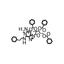 C[C@@]1(OC(=O)c2ccccc2)[C@H](OC(=O)c2ccccc2)[C@@H](COC(=O)c2ccccc2)O[C@H]1n1cnc2c(NCCc3ccccc3)nc(N)nc21